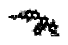 COc1cc(-c2ccc(C3CCc4ccc(CC(C)C(=O)O)c(F)c4O3)cc2CN2CCCC2C)c(F)cn1